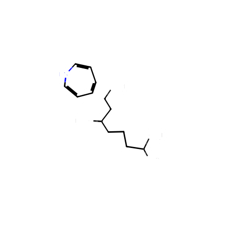 C1=CC=CNC=C1.CCCCCCCCCCC(CCCC(CCC(=O)O)C(=O)O)C(=O)O